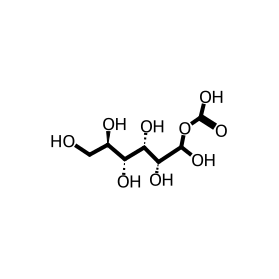 O=C(O)OC(O)[C@H](O)[C@@H](O)[C@H](O)[C@H](O)CO